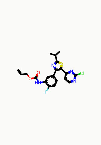 C=CCOC(=O)Nc1cc(-c2nc(C(C)C)sc2-c2ccnc(Cl)n2)ccc1F